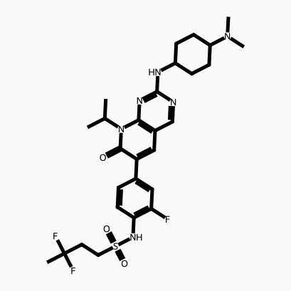 CC(C)n1c(=O)c(-c2ccc(NS(=O)(=O)CCC(C)(F)F)c(F)c2)cc2cnc(NC3CCC(N(C)C)CC3)nc21